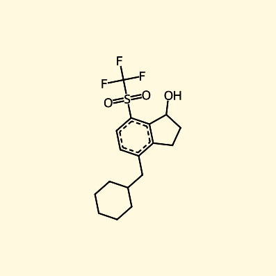 O=S(=O)(c1ccc(CC2CCCCC2)c2c1C(O)CC2)C(F)(F)F